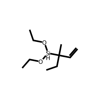 C=CC(C)(CC)[SiH](OCC)OCC